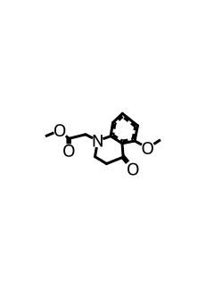 COC(=O)CN1CCC(=O)c2c(OC)cccc21